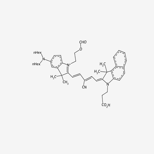 CCCCCCN(CCCCCC)c1ccc2c(c1)C(C)(C)C(/C=C/C(C#N)=C/C=C1/N(CCC(=O)O)c3ccc4ccccc4c3C1(C)C)=[N+]2CCOC=O